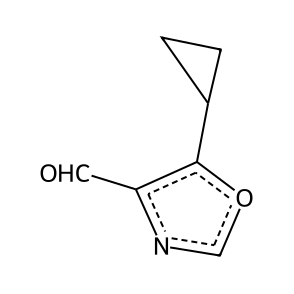 O=Cc1ncoc1C1CC1